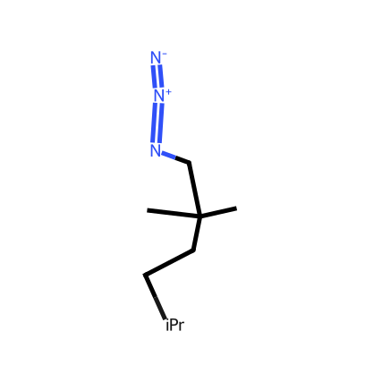 CC(C)CCC(C)(C)CN=[N+]=[N-]